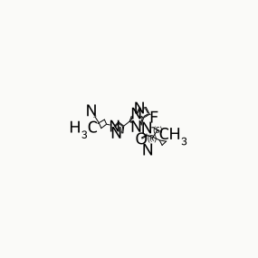 C[C@@H]1CN(c2nc(-c3cnn(C4CC(C)(C#N)C4)c3)cn3ncc(F)c23)C(=O)[C@]1(C#N)C1CC1